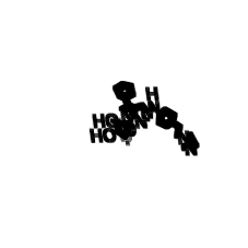 C[C@H]1O[C@@H](n2cc(-c3ccccc3)c3c2N=CN(Nc2ccc(CCn4ccnc4)cc2)C3)[C@H](O)[C@@H]1O